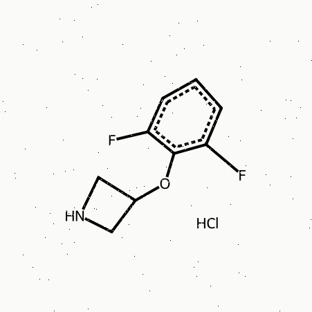 Cl.Fc1cccc(F)c1OC1CNC1